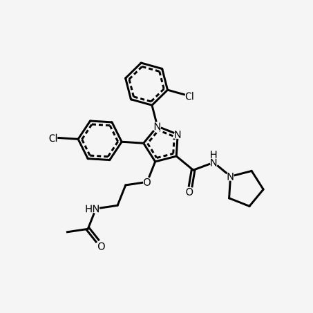 CC(=O)NCCOc1c(C(=O)NN2CCCC2)nn(-c2ccccc2Cl)c1-c1ccc(Cl)cc1